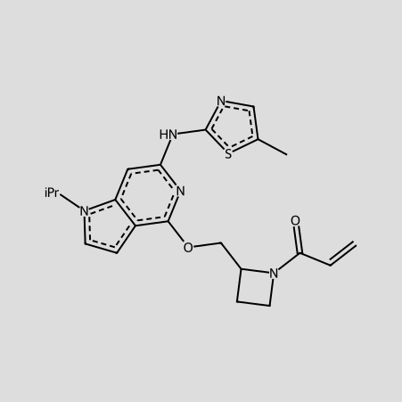 C=CC(=O)N1CCC1COc1nc(Nc2ncc(C)s2)cc2c1ccn2C(C)C